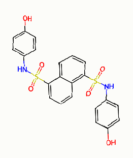 O=S(=O)(Nc1ccc(O)cc1)c1cccc2c(S(=O)(=O)Nc3ccc(O)cc3)cccc12